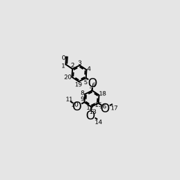 C=Cc1ccc(Oc2cc(OC)c(OC)c(OC)c2)cc1